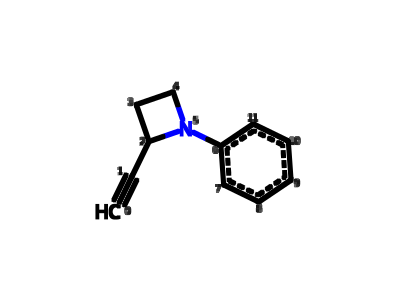 C#CC1CCN1c1ccccc1